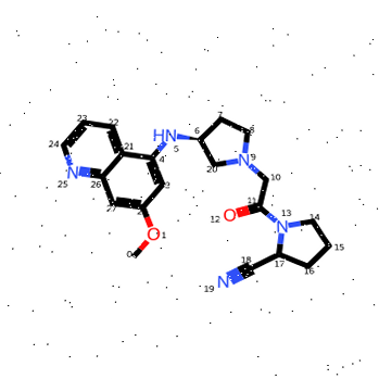 COc1cc(N[C@H]2CCN(CC(=O)N3CCCC3C#N)C2)c2cccnc2c1